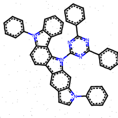 c1ccc(-c2nc(-c3ccccc3)nc(-n3c4cc5c(ccn5-c5ccccc5)cc4c4ccc5c(c6ccccc6n5-c5ccccc5)c43)n2)cc1